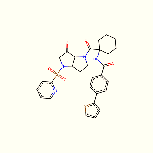 O=C(NC1(C(=O)N2CCC3C2C(=O)CN3S(=O)(=O)c2ccccn2)CCCCC1)c1ccc(-c2cccs2)cc1